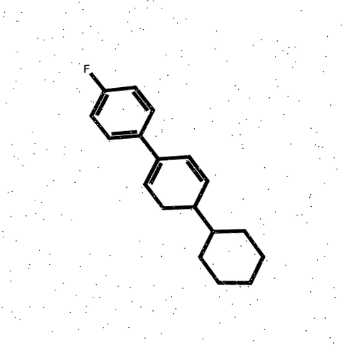 Fc1ccc(C2=CCC(C3CCCCC3)C=C2)cc1